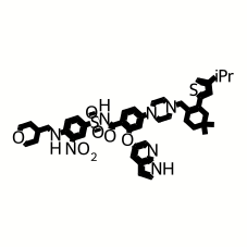 CC(C)c1csc(C2=C(CN3CCN(c4ccc(C(=O)NS(=O)(=O)c5ccc(NCC6CCOCC6)c([N+](=O)[O-])c5)c(Oc5cnc6[nH]ccc6c5)c4)CC3)CCC(C)(C)C2)c1